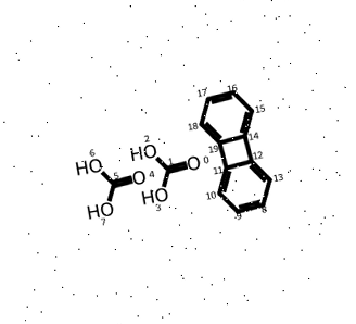 O=C(O)O.O=C(O)O.c1ccc2c(c1)-c1ccccc1-2